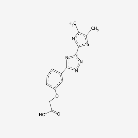 Cc1nc(-n2nnc(-c3cccc(OCC(=O)O)c3)n2)sc1C